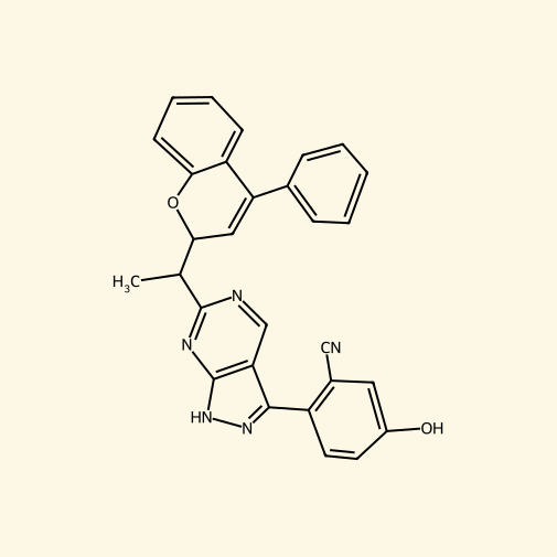 CC(c1ncc2c(-c3ccc(O)cc3C#N)n[nH]c2n1)C1C=C(c2ccccc2)c2ccccc2O1